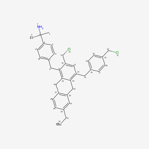 CCC(C)(N)c1ccc(Cc2c(CCl)cc(Cc3ccc(CCl)cc3)c3c2Cc2ccc(CC(C)(C)C)cc2C3)cc1